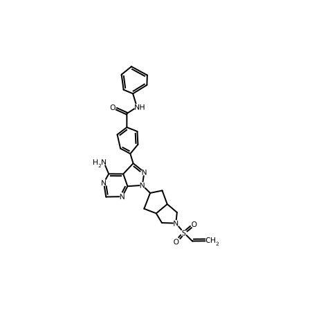 C=CS(=O)(=O)N1CC2CC(n3nc(-c4ccc(C(=O)Nc5ccccc5)cc4)c4c(N)ncnc43)CC2C1